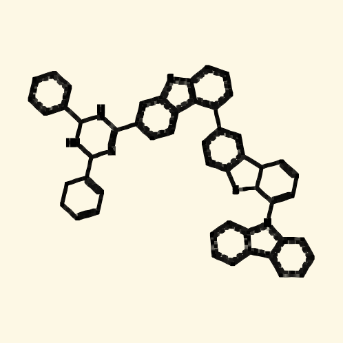 C1=CCCC(C2N=C(c3ccc4c(c3)sc3cccc(-c5ccc6c(c5)C5C=CC=C(n7c8ccccc8c8ccccc87)C5S6)c34)NC(c3ccccc3)N2)=C1